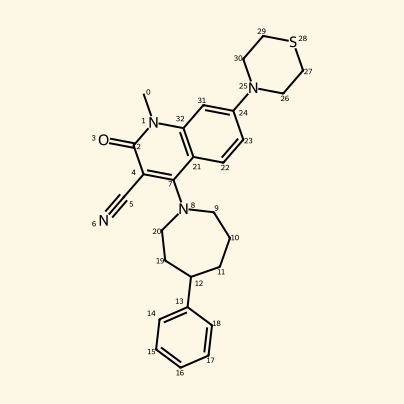 Cn1c(=O)c(C#N)c(N2CCCC(c3ccccc3)CC2)c2ccc(N3CCSCC3)cc21